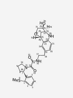 CSc1ccccc1[C@H]1CCCN1C(=O)C(=O)NCCc1ccc2c(c1)[C@H]1C[C@H](N2)[C@H](O)CO1